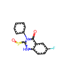 O=S=c1[nH]c2ccc(F)cc2c(=O)n1-c1ccccc1